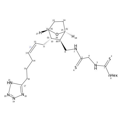 CCCCCCC(=S)NCC(=S)NC[C@H]1[C@H](C/C=C\CCCc2nnn[nH]2)[C@@H]2CC[C@@H]1O2